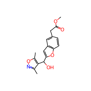 COC(=O)Cc1ccc2oc(C(O)c3c(C)noc3C)cc2c1